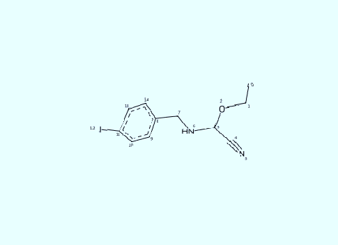 CCOC(C#N)NCc1ccc(I)cc1